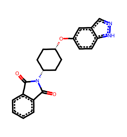 O=C1c2ccccc2C(=O)N1[C@H]1CC[C@@H](Oc2ccc3[nH]ncc3c2)CC1